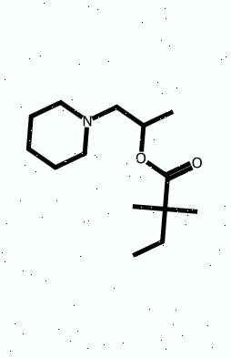 CCC(C)(C)C(=O)OC(C)CN1CCCCC1